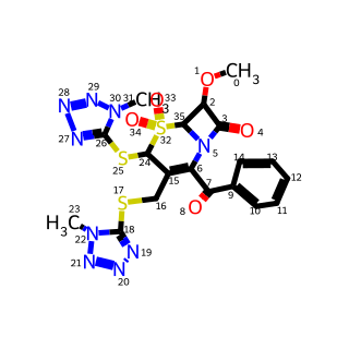 COC1C(=O)N2C(C(=O)c3ccccc3)=C(CSc3nnnn3C)C(Sc3nnnn3C)S(=O)(=O)C12